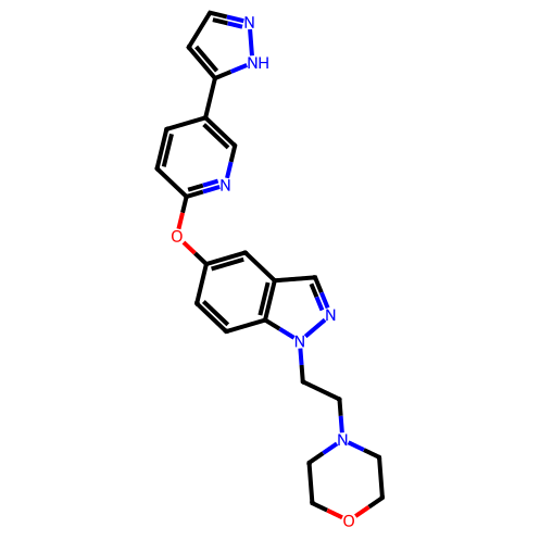 c1cc(-c2ccc(Oc3ccc4c(cnn4CCN4CCOCC4)c3)nc2)[nH]n1